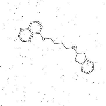 c1ccc2c(c1)CC(NCCCCOc1cccc3nccnc13)C2